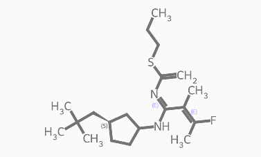 C=C(/N=C(NC1CC[C@@H](CC(C)(C)C)C1)\C(C)=C(/C)F)SCCC